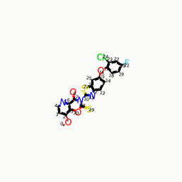 COc1ccnc2c(=O)n(-c3nc4ccc(Oc5ccc(F)cc5Cl)cc4s3)c(=S)oc12